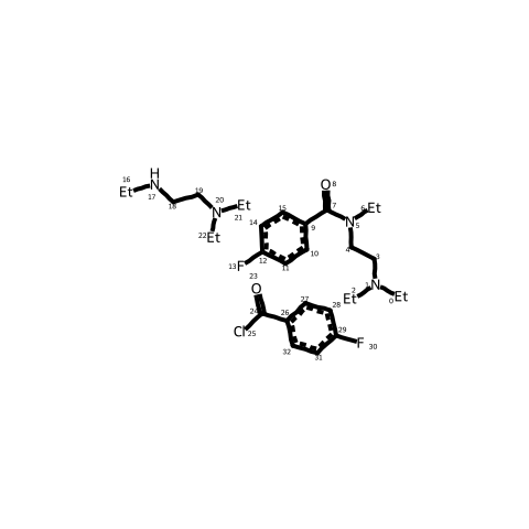 CCN(CC)CCN(CC)C(=O)c1ccc(F)cc1.CCNCCN(CC)CC.O=C(Cl)c1ccc(F)cc1